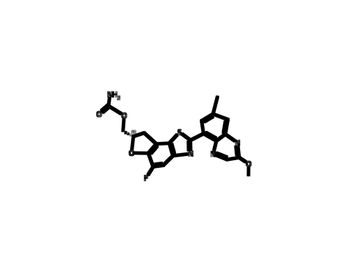 COc1cnc2c(-c3nc4cc(F)c5c(c4s3)C[C@@H](COC(N)=O)O5)cc(C)cc2n1